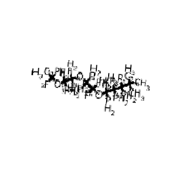 CC(F)(P)OC(F)(P)C(P)(P)OC(P)(P)C(F)(P)OC(F)(P)C(P)(P)C(P)(P)C(C)(C)C